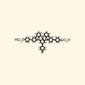 O=C(O)c1ccc(-c2ccc3c(c2)c2cccc4c2n3-c2cc(-c3ccc(F)cc3)cc3c2B4c2cccc4c5cc(-c6ccc(C(=O)O)cc6)ccc5n-3c24)cc1